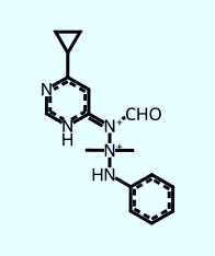 C[N+](C)(Nc1ccccc1)[N+](C=O)=c1cc(C2CC2)nc[nH]1